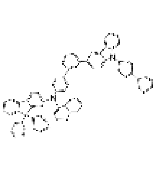 c1ccc(-c2ccc(-n3c4ccccc4c4cc(-c5cccc(-c6ccc(N(c7ccc8c(c7)C(c7ccccc7)(c7ccccc7)c7ccccc7-8)c7cccc8ccccc78)cc6)c5)ccc43)cc2)cc1